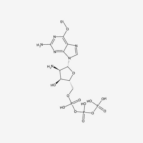 CCOc1nc(N)nc2c1ncn2[C@@H]1O[C@H](COP(=O)(O)OP(=O)(O)OP(=O)(O)O)[C@@H](O)[C@H]1N